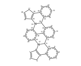 C1=CC2=C(C1)c1ccccc1C1c3cccc4c3-c3c(cccc3N3C5=C(CC=C5)c5ccccc5C43)N21